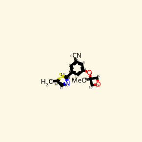 COC1(Oc2cc(C#N)cc(-c3ncc(C)s3)c2)COC1